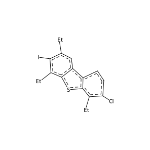 CCc1cc2c(sc3c(CC)c(Cl)ccc32)c(CC)c1I